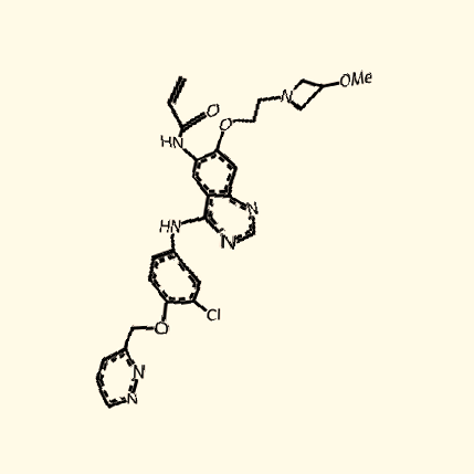 C=CC(=O)Nc1cc2c(Nc3ccc(OCc4cccnn4)c(Cl)c3)ncnc2cc1OCCN1CC(OC)C1